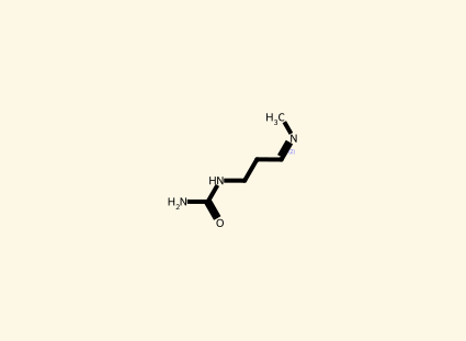 C/N=C\CCNC(N)=O